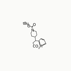 CC(C)(C)OC(=O)N1CCC(C(CC(=O)O)c2ccccc2)CC1